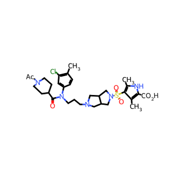 CC(=O)N1CCC(C(=O)N(CCCN2CC3CN(S(=O)(=O)c4c(C)[nH]c(C(=O)O)c4C)CC3C2)c2ccc(C)c(Cl)c2)CC1